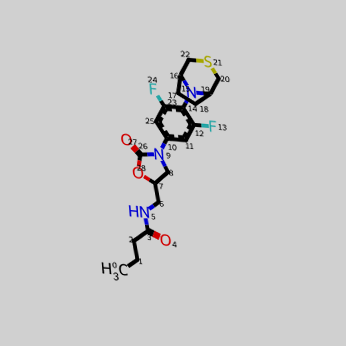 CCCC(=O)NCC1CN(c2cc(F)c(N3C4CCC3CSC4)c(F)c2)C(=O)O1